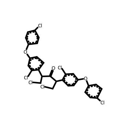 O=C(C(CCl)c1ccc(Oc2ccc(Cl)cc2)cc1Cl)C(CCl)c1ccc(Oc2ccc(Cl)cc2)cc1Cl